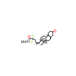 COC(=O)C(F)(F)C[C@@H](C)[C@H]1CC[C@H]2[C@@H]3CC=C4CC(=O)CC[C@]4(C)C3CC[C@]12C